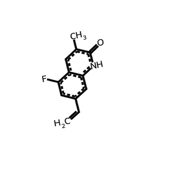 C=Cc1cc(F)c2cc(C)c(=O)[nH]c2c1